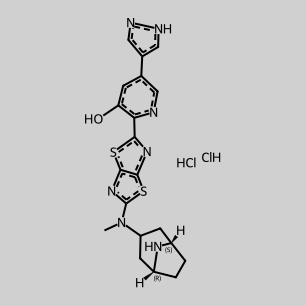 CN(c1nc2sc(-c3ncc(-c4cn[nH]c4)cc3O)nc2s1)C1C[C@H]2CC[C@@H](C1)N2.Cl.Cl